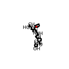 CC(O)c1cc2cnc(Nc3ccc4c(n3)CCN(C(=O)[C@@H]3C[C@H](O)CN3C)C4)nc2c(N2C3CCC2CC3)n1